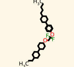 CCCCCC1CCC(c2ccc(OC(F)(F)COC3CCC(C4CCC(CCC)CC4)CC3)cc2)CC1